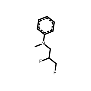 CN(CC(F)CF)c1ccccc1